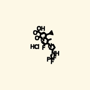 Cc1c(N2CCC(NCC(F)(F)F)C2)c(F)cn2c(=O)c(C(=O)O)cc(C3CC3)c12.Cl